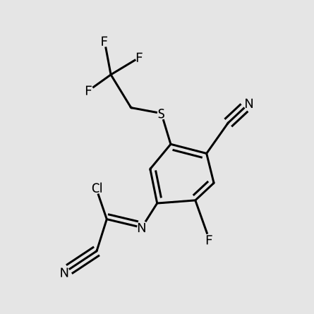 N#CC(Cl)=Nc1cc(SCC(F)(F)F)c(C#N)cc1F